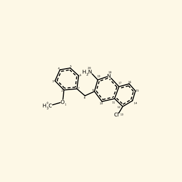 COc1ccccc1Cc1cc2c(Cl)cccc2nc1N